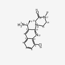 C[C@H](N)c1cc2cccc(Cl)c2nc1N1CCN(C)C(=O)C1